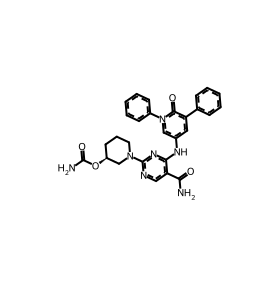 NC(=O)O[C@H]1CCCN(c2ncc(C(N)=O)c(Nc3cc(-c4ccccc4)c(=O)n(-c4ccccc4)c3)n2)C1